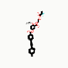 C=C(F)C(=O)OCCOC(=O)c1cc(OC(=O)c2ccc(C#Cc3ccc(C)cc3)cc2)ccc1OCCC